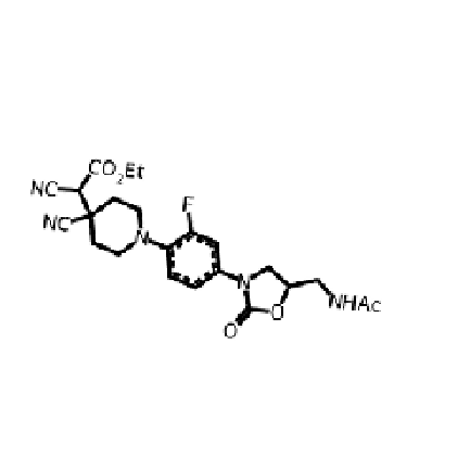 CCOC(=O)C(C#N)C1(C#N)CCN(c2ccc(N3CC(CNC(C)=O)OC3=O)cc2F)CC1